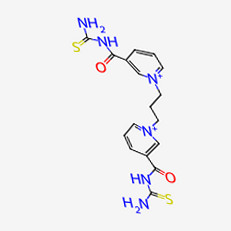 NC(=S)NC(=O)c1ccc[n+](CCC[n+]2cccc(C(=O)NC(N)=S)c2)c1